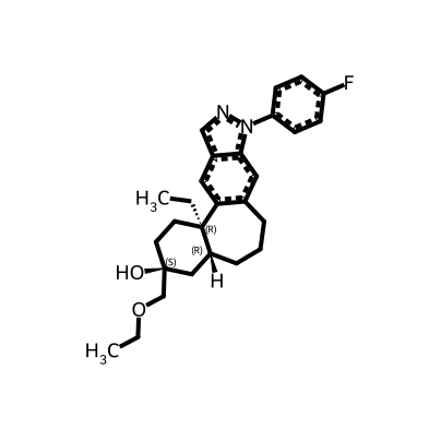 CCOC[C@]1(O)CC[C@@]2(CC)c3cc4cnn(-c5ccc(F)cc5)c4cc3CCC[C@@H]2C1